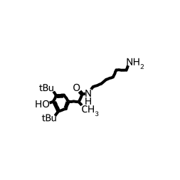 CC(C(=O)NCCCCCCN)c1cc(C(C)(C)C)c(O)c(C(C)(C)C)c1